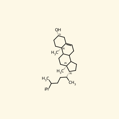 CC(C)C(C)CCC(C)[C@H]1CCC2C3CC=C4C[C@@H](O)CC[C@]4(C)C3CC[C@@]21C